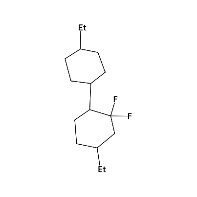 CCC1CCC(C2CCC(CC)CC2(F)F)CC1